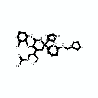 COC(COC(=O)O)C1=C(Sc2ccccc2Cl)C(=O)NC(c2ccsc2)(c2cccc(OCC3CCCC3)n2)C1